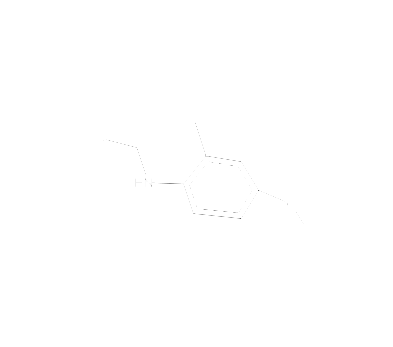 COc1ccc(NCS)c(C)c1